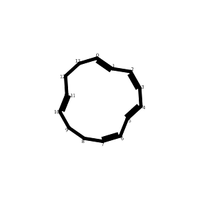 [C]1=C/C=C\C=C\C=C/CC/C=C/CC/1